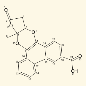 CC12OC(=O)CC1Oc1c(c3ccccc3c3cc(C(=O)O)ccc13)O2